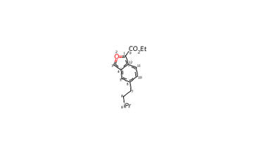 CCOC(=O)c1occ2cc(CCC(C)C)ccc12